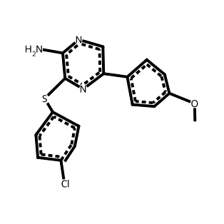 COc1ccc(-c2cnc(N)c(Sc3ccc(Cl)cc3)n2)cc1